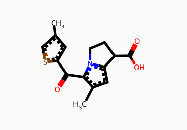 Cc1csc(C(=O)c2c(C)cc3n2CCC3C(=O)O)c1